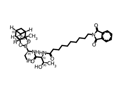 CC(C)C[C@H](NC(=O)[C@@H](NC(=O)CCCCCCCCCN1C(=O)c2ccccc2C1=O)[C@@H](C)O)B1O[C@@H]2C[C@@H]3C[C@@H](C3(C)C)[C@]2(C)O1